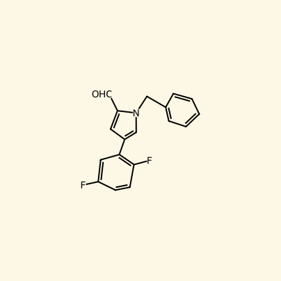 O=Cc1cc(-c2cc(F)ccc2F)cn1Cc1ccccc1